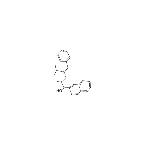 CC(CN(Cc1ccccc1)C(C)C)C(O)c1ccc2ccccc2c1